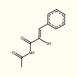 CC(=O)NC(=O)/C(S)=C/c1ccccc1